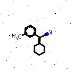 Cc1cccc(C(C#N)=C2CCCCC2)c1